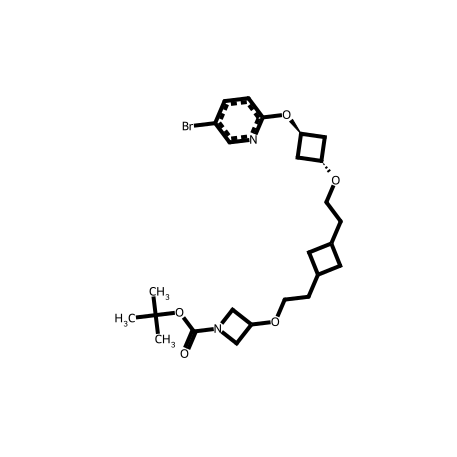 CC(C)(C)OC(=O)N1CC(OCCC2CC(CCO[C@H]3C[C@H](Oc4ccc(Br)cn4)C3)C2)C1